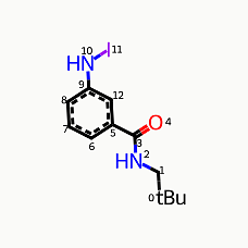 CC(C)(C)CNC(=O)c1cccc(NI)c1